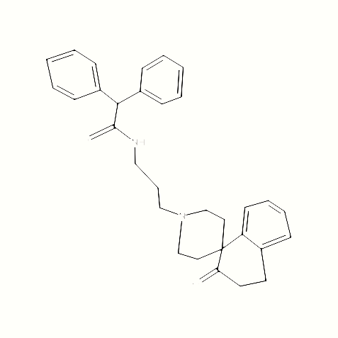 O=C(NCCCN1CCC2(CC1)C(=O)CCc1ccccc12)C(c1ccccc1)c1ccccc1